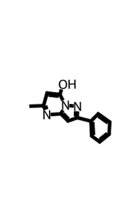 Cc1cc(O)n2nc(-c3ccccc3)cc2n1